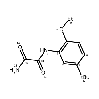 CCOc1ccc(C(C)(C)C)cc1NC(=O)C(N)=O